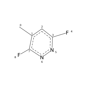 Cc1cc(F)nnc1F